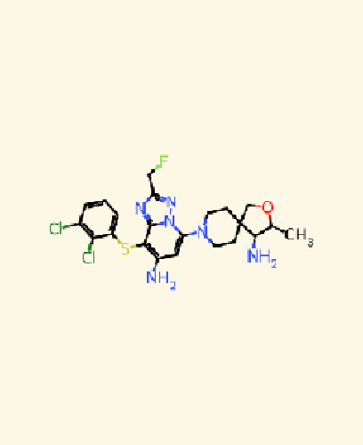 C[C@@H]1OCC2(CCN(c3cc(N)c(Sc4cccc(Cl)c4Cl)c4nc(CF)nn34)CC2)[C@@H]1N